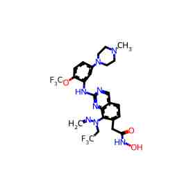 C=NN(CC(F)(F)F)c1c(CC(=O)NO)ccc2cnc(Nc3cc(N4CCN(C)CC4)ccc3OC(F)(F)F)nc12